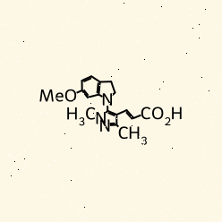 COc1ccc2c(c1)N(c1c(C=CC(=O)O)c(C)nn1C)CC2